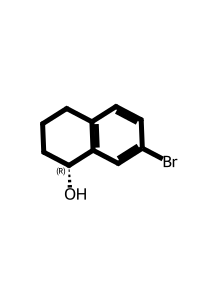 O[C@@H]1CCCc2ccc(Br)cc21